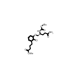 COC(=O)CCCc1cccc(OC[C@H](CCC(N)=O)NC(=O)OC(C)(C)C)c1Cl